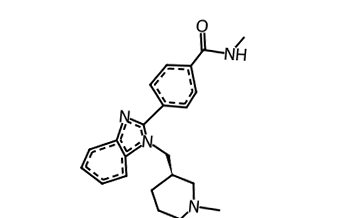 CNC(=O)c1ccc(-c2nc3ccccc3n2C[C@@H]2CCCN(C)C2)cc1